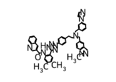 Cc1cc(NC(=O)c2cnc3ccccc3c2)c(-c2nnn(-c3ccc(CCN(Cc4cccc(-n5ccnc5)c4)Cc4ccc5c(cnn5C)c4)cc3)n2)cc1C